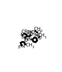 Cc1nc(F)ccc1Oc1nnc(C(F)(F)F)c(C)c1C(=O)Nc1cccc([S@@](C)(=O)=NC(=O)[C@@H](C)O)c1